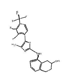 Cc1nc(Nc2cccc3c2CC(O)CC3)oc1-c1ccc(C(F)(F)F)c(F)c1F